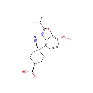 COc1ccc([C@]2(C#N)CC[C@@H](C(=O)O)CC2)c2nc(C(C)C)oc12